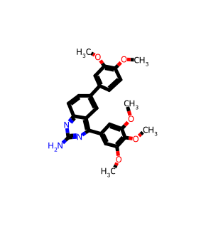 COc1ccc(-c2ccc3nc(N)nc(-c4cc(OC)c(OC)c(OC)c4)c3c2)cc1OC